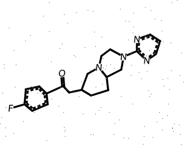 O=C(CC1CCC2CN(c3ncccn3)CCN2C1)c1ccc(F)cc1